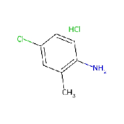 Cc1cc(Cl)ccc1N.Cl